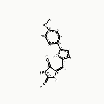 COc1ccc(-c2ccc(C=C3SC(=S)NC3=O)o2)cc1